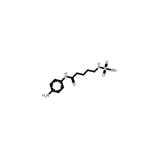 CC(C)(C)S(=O)(=O)NCCCCC(=O)Nc1ccc(N)cc1